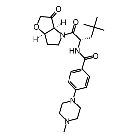 CN1CCN(c2ccc(C(=O)N[C@@H](CC(C)(C)C)C(=O)N3CC[C@H]4OCC(=O)[C@H]43)cc2)CC1